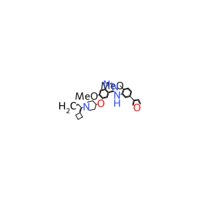 C=CC(=C1CCC1)N1CCC(Oc2cc3c(Nc4cc(-c5ccoc5)ccc4OC)ncnc3cc2OC)CC1